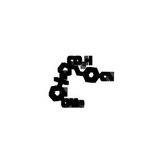 COc1cccc(C(C)(C)N2CC[C@@](CCc3ccc(C#N)cc3)(C(=O)O)C2)n1